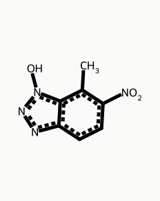 Cc1c([N+](=O)[O-])ccc2nnn(O)c12